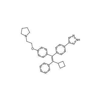 c1ccc(C(=C(c2ccc(OCCN3CCCC3)cc2)c2ccc(-c3cn[nH]c3)cc2)C2CCC2)cc1